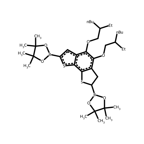 CCCCC(CC)COc1c2c(c3sc(B4OC(C)(C)C(C)(C)O4)cc3c1OCC(CC)CCCC)SC(B1OC(C)(C)C(C)(C)O1)C2